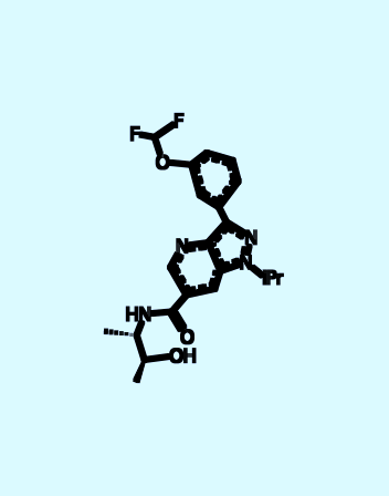 CC(C)n1nc(-c2cccc(OC(F)F)c2)c2ncc(C(=O)N[C@@H](C)[C@H](C)O)cc21